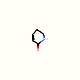 O=C1C=C[C]CN1